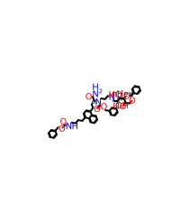 CCCCCCN(CCCN(C(=O)OCc1ccccc1)[C@@H](CCc1ccc(CCCCNC(=O)OCc2ccccc2)c2ccccc12)C(N)=O)C[C@H](O)[C@@H](O)[C@@H]1OC(c2ccccc2)OC[C@H]1O